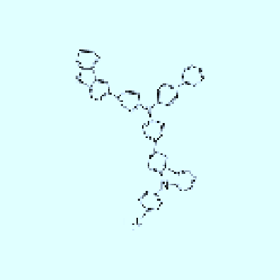 Cc1ccc(-n2c3ccccc3c3cc(-c4ccc(N(c5ccc(-c6ccccc6)cc5)c5ccc(-c6ccc7sc8ccccc8c7c6)cc5)cc4)ccc32)cc1